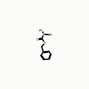 CC(C)N(C(=O)SCc1ccccc1)C(C)C